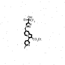 CCOC(=O)c1cc2cc(Cn3cc(C(O)(CC)C(F)(F)F)nn3)ccn2c1-c1ccc(F)nc1